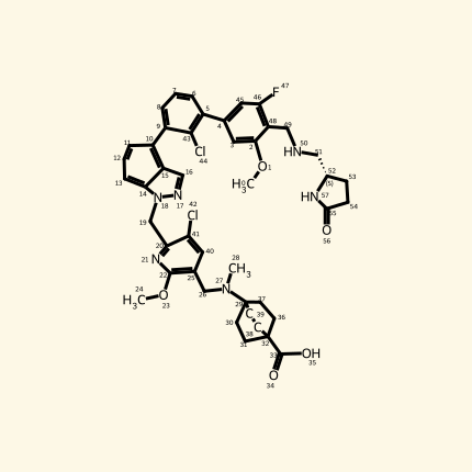 COc1cc(-c2cccc(-c3cccc4c3cnn4Cc3nc(OC)c(CN(C)C45CCC(C(=O)O)(CC4)CC5)cc3Cl)c2Cl)cc(F)c1CNC[C@@H]1CCC(=O)N1